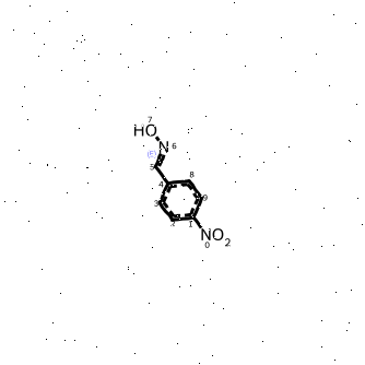 O=[N+]([O-])c1ccc(/C=N/O)cc1